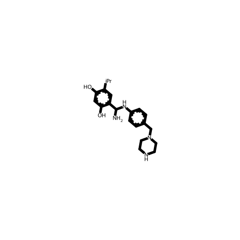 CC(C)c1cc(C(N)Nc2ccc(CN3CCNCC3)cc2)c(O)cc1O